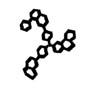 c1ccc(-c2cccc3ccc(-c4ccc(N(c5ccc(-c6ccc7ccccc7c6)cc5)c5ccc6ccc7ccccc7c6c5)cc4)cc23)cc1